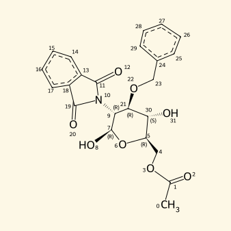 CC(=O)OC[C@H]1O[C@@H](O)[C@H](N2C(=O)c3ccccc3C2=O)[C@@H](OCc2ccccc2)[C@@H]1O